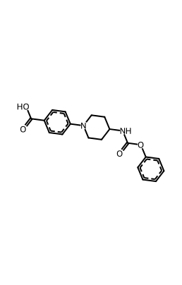 O=C(NC1CCN(c2ccc(C(=O)O)cc2)CC1)Oc1ccccc1